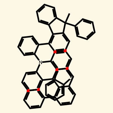 CC1(c2ccccc2)c2ccccc2-c2c(-c3ccccc3N(c3ccccc3-c3cccc4cccc(-c5ccccc5)c34)c3cccc4sc5ccccc5c34)cccc21